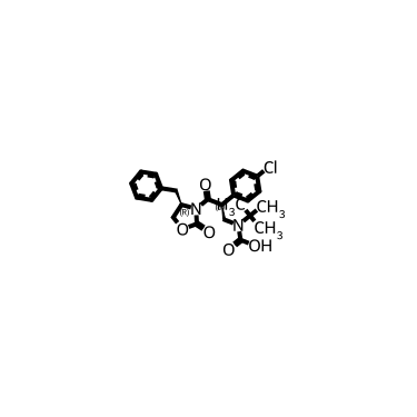 CC(C)(C)N(C[C@@H](C(=O)N1C(=O)OC[C@H]1Cc1ccccc1)c1ccc(Cl)cc1)C(=O)O